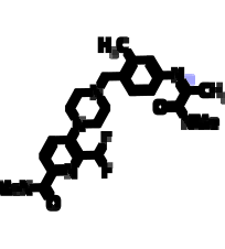 CNC(=O)/C(C)=N\c1ccc(CN2CCN(c3ccc(C(=O)NC)nc3C(F)F)CC2)c(C)c1